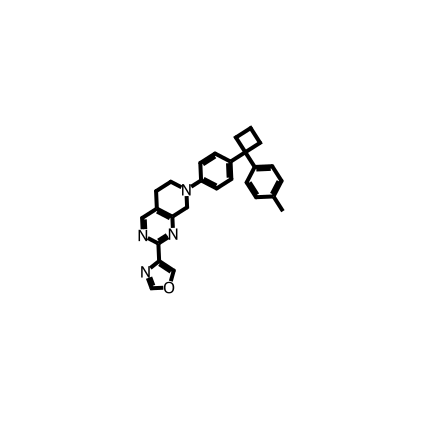 Cc1ccc(C2(c3ccc(N4CCc5cnc(-c6cocn6)nc5C4)cc3)CCC2)cc1